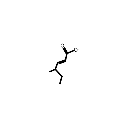 CCC(C)/C=C/C([O])=O